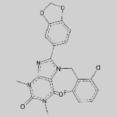 Cn1c(=O)c2c(nc(-c3ccc4c(c3)OCO4)n2Cc2c(F)cccc2Cl)n(C)c1=O